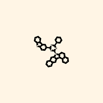 c1ccc(-c2nc(-c3ccc4sc5ccccc5c4c3)nc(-n3c4cc5ccccc5cc4c4c5ccccc5ccc43)n2)cc1